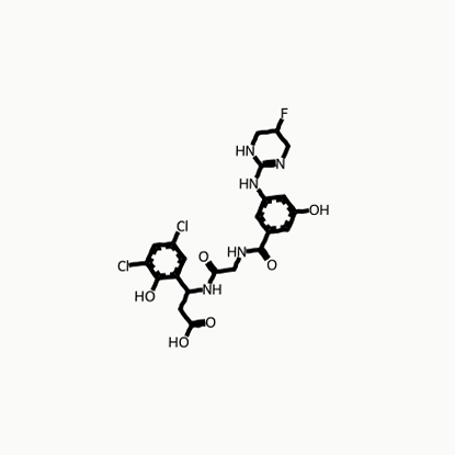 O=C(O)CC(NC(=O)CNC(=O)c1cc(O)cc(NC2=NCC(F)CN2)c1)c1cc(Cl)cc(Cl)c1O